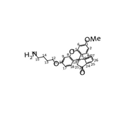 COc1ccc2c(c1)Oc1cc(OCCCCN)ccc1C21CC(=O)c2ccccc21